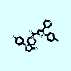 O=C(c1cc(-c2ccncc2)n(-c2ccc(F)cc2)n1)N1CCC2(CC1)C(=O)CCN2c1ccc(F)cc1